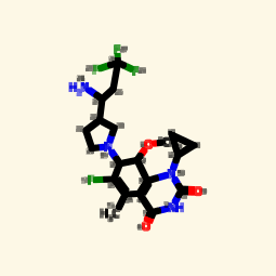 COC1c2c(c(=O)[nH]c(=O)n2C2CC2)C(C)=C(F)C1N1CCC(C(N)CC(F)(F)F)C1